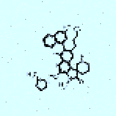 CN1C(=O)C2(CCCNC2)c2c1c(OC[C@@H]1CCCN1C)nc1c(F)c(-c3cc(O)cc4ccccc34)c(CCCC#N)cc21